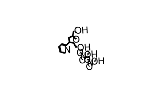 O=[N+]([O-])O.O=[N+]([O-])O.OCC1CC(c2ccccn2)C(CO)O1